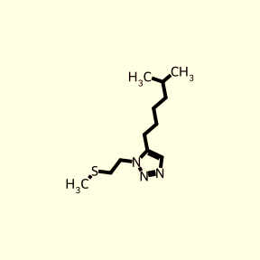 CSCCn1nncc1CCCCC(C)C